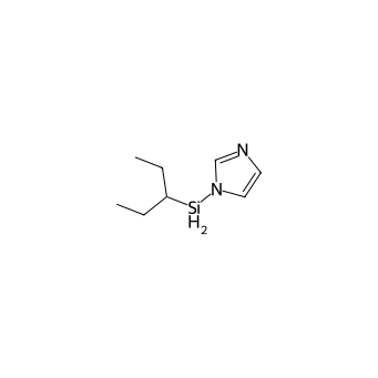 CCC(CC)[SiH2]n1ccnc1